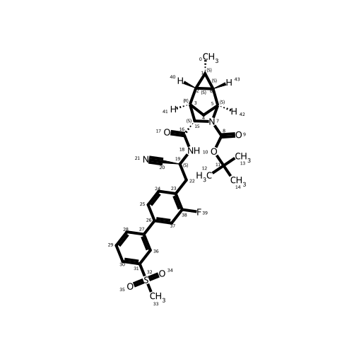 C[C@H]1[C@H]2[C@H]3C[C@@H]([C@@H]12)N(C(=O)OC(C)(C)C)[C@@H]3C(=O)N[C@H](C#N)Cc1ccc(-c2cccc(S(C)(=O)=O)c2)cc1F